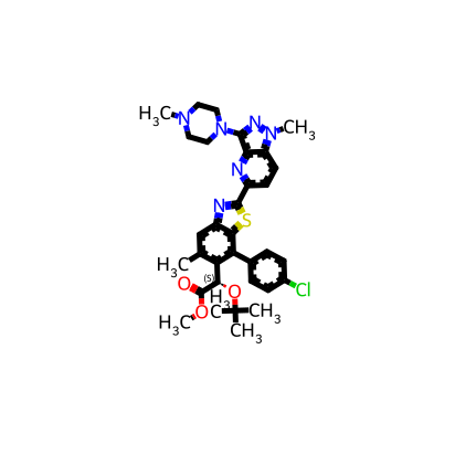 COC(=O)[C@@H](OC(C)(C)C)c1c(C)cc2nc(-c3ccc4c(n3)c(N3CCN(C)CC3)nn4C)sc2c1-c1ccc(Cl)cc1